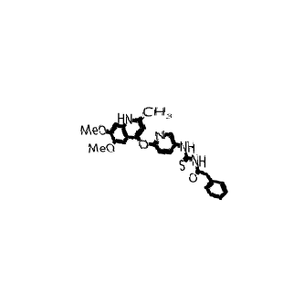 COc1cc2c(cc1OC)C(Oc1ccc(NC(=S)NC(=O)Cc3ccccc3)cn1)=CC(C)N2